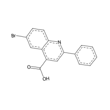 O=C(O)c1cc(-c2ccccc2)nc2ccc(Br)cc12